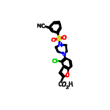 N#Cc1cccc(S(=O)(=O)N2CCN(c3ccc4oc(C(=O)O)cc4c3Cl)CC2)c1